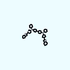 C=C(/C=C\C(=C/C)N(c1ccccc1)c1ccc(-c2ccc(N(c3ccccc3)c3ccc(-c4cc5ccccc5s4)cc3)cc2)cc1)c1cc2ccccc2s1